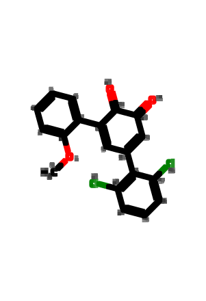 COc1ccccc1C1=CC(c2c(Cl)cccc2Cl)=CC(=O)C1=O